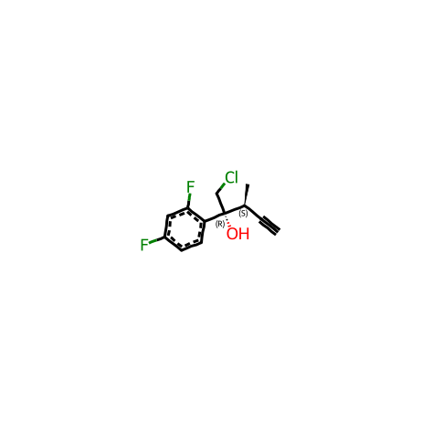 C#C[C@H](C)[C@](O)(CCl)c1ccc(F)cc1F